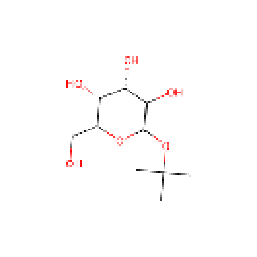 CC(C)(C)OC1OC(CO)[C@H](O)[C@H](O)C1O